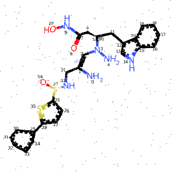 N/C(=C\N(N)[C@@H](CC(=O)NO)Cc1c[nH]c2ccccc12)CN[S+]([O-])c1ccc(-c2ccccc2)s1